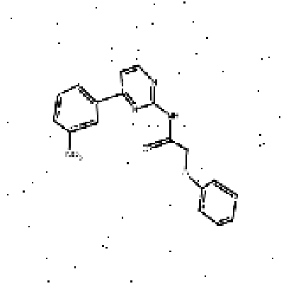 O=C(COc1ccccc1)Nc1nccc(-c2cccc([N+](=O)[O-])c2)n1